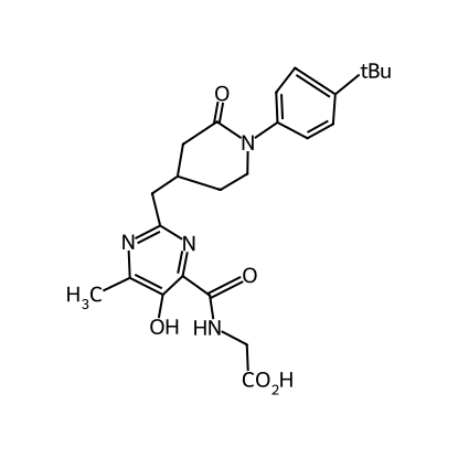 Cc1nc(CC2CCN(c3ccc(C(C)(C)C)cc3)C(=O)C2)nc(C(=O)NCC(=O)O)c1O